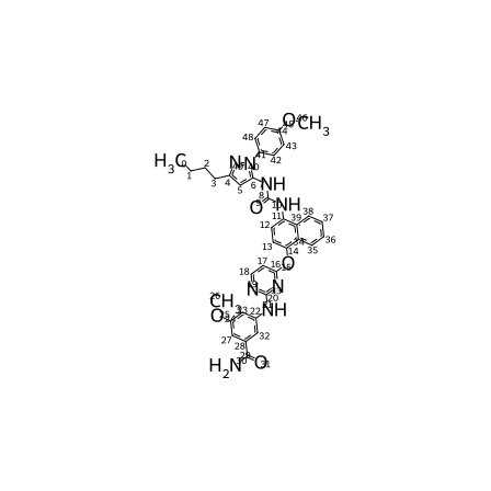 CCCCc1cc(NC(=O)Nc2ccc(Oc3ccnc(Nc4cc(OC)cc(C(N)=O)c4)n3)c3ccccc23)n(-c2ccc(OC)cc2)n1